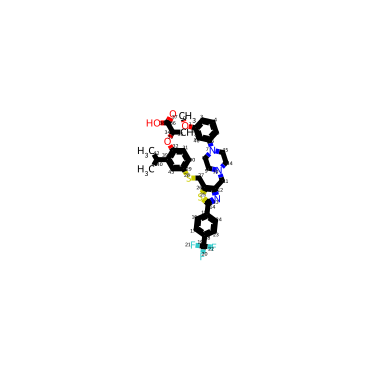 COc1cccc(N2CCN(Cc3nc(-c4ccc(C(F)(F)F)cc4)sc3CSc3ccc(OC(C)C(=O)O)c(C(C)C)c3)CC2)c1